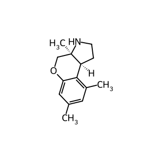 Cc1cc(C)c2c(c1)OC[C@@]1(C)NCC[C@@H]21